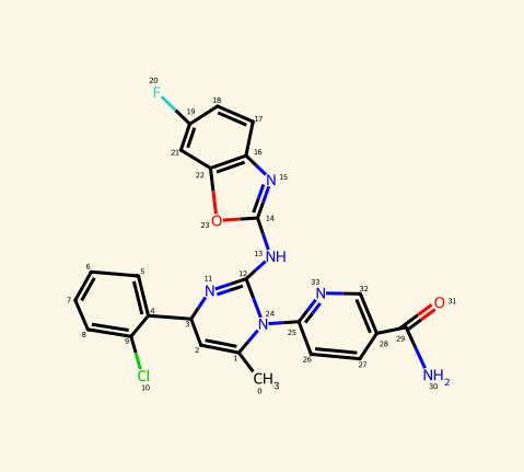 CC1=CC(c2ccccc2Cl)N=C(Nc2nc3ccc(F)cc3o2)N1c1ccc(C(N)=O)cn1